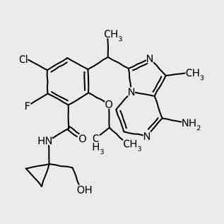 Cc1nc(C(C)c2cc(Cl)c(F)c(C(=O)NC3(CO)CC3)c2OC(C)C)n2ccnc(N)c12